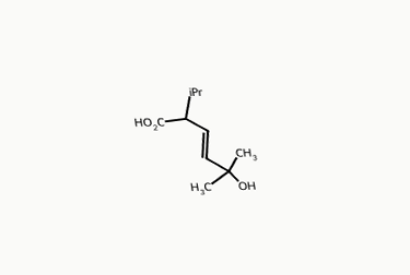 CC(C)C(C=CC(C)(C)O)C(=O)O